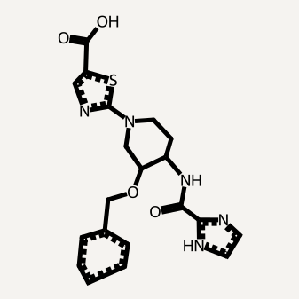 O=C(NC1CCN(c2ncc(C(=O)O)s2)CC1OCc1ccccc1)c1ncc[nH]1